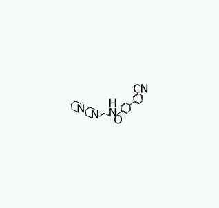 N#Cc1cccc(-c2ccc(C(=O)NCCCN3CCC(N4CCCCC4)CC3)cc2)c1